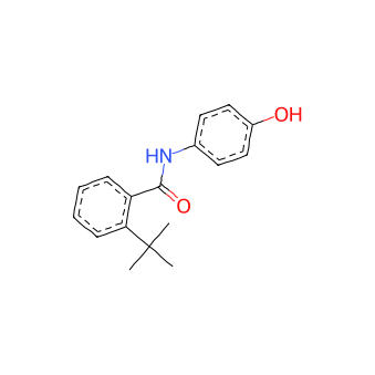 CC(C)(C)c1ccccc1C(=O)Nc1ccc(O)cc1